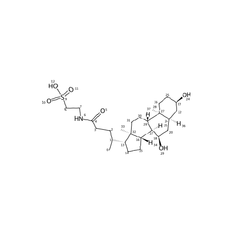 CC(CCC(=O)NCCS(=O)(=O)O)[C@H]1CC[C@H]2[C@@H]3[C@H](O)C[C@@H]4C[C@H](O)CC[C@]4(C)[C@H]3CC[C@]12C